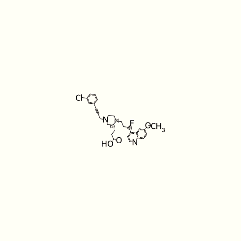 COc1ccc2nccc([C@H](F)CC[C@@H]3CCN(CC#Cc4cccc(Cl)c4)C[C@H]3CCC(=O)O)c2c1